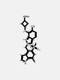 CNC1CC(Oc2c(C#N)ccc3cn(Cc4c(S(C)(=O)=O)cc(C)c5[nH]ccc45)nc23)C1